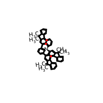 CC1(C)c2ccccc2-c2ccc(-c3cccc(-c4ccc5c(c4)C(C)(C)c4ccccc4-5)c3N(c3ccccc3)c3ccc4c(c3)C(C)(C)c3ccccc3-4)cc21